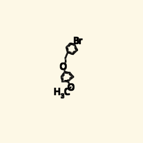 COc1ccc(OCCc2ccc(Br)cc2)cc1